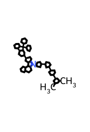 Cc1cc(C)cc(-c2ccc(-c3cccc(-c4ccc(-n5c6ccc(-c7ccc8c(c7)C(c7ccccc7)(c7ccccc7)c7ccccc7-8)cc6c6c7ccccc7ccc65)cc4)c3)cc2)c1